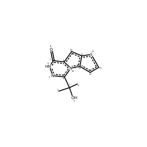 CC(C)(O)c1n[nH]c(=O)c2cc3sccc3n12